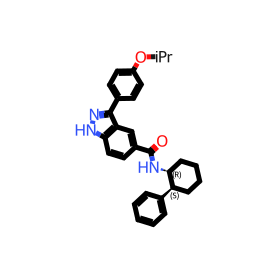 CC(C)Oc1ccc(-c2n[nH]c3ccc(C(=O)N[C@@H]4CCCC[C@H]4c4ccccc4)cc23)cc1